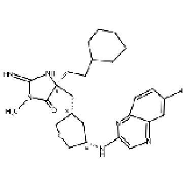 CN1C(=N)N[C@@](CCC2CCCCC2)(C[C@H]2CCC[C@@H](Nc3cnc4cc(I)ccc4n3)C2)C1=O